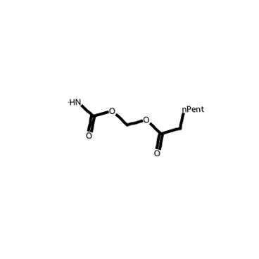 CCCCCCC(=O)OCOC([NH])=O